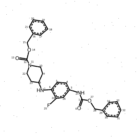 O=C(Nc1ccc(NC2CCN(C(=O)OCc3ccccc3)CC2)c(F)c1)OCc1ccccc1